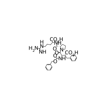 N=C(N)NCCC[C@H](NC(=O)[C@@H]1CCCN1C(=O)[C@@H](NC(=O)OCc1ccccc1)C(Cc1ccccc1)C(=O)O)C(=O)O